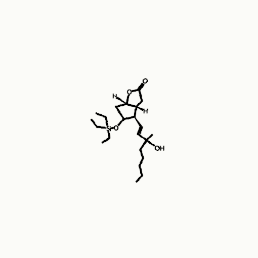 CCCCCC(C)(O)/C=C/[C@H]1C(O[Si](CC)(CC)CC)C[C@@H]2OC(=O)C[C@@H]21